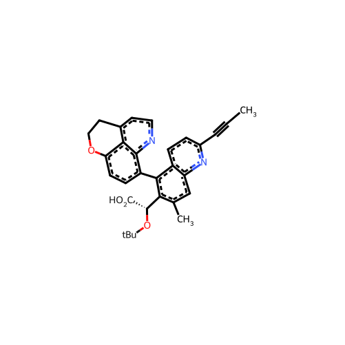 CC#Cc1ccc2c(-c3ccc4c5c(ccnc35)CCO4)c([C@H](OC(C)(C)C)C(=O)O)c(C)cc2n1